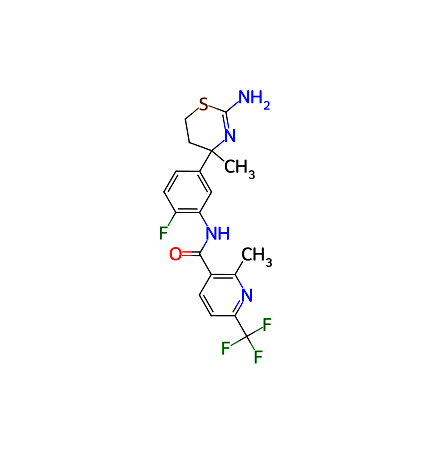 Cc1nc(C(F)(F)F)ccc1C(=O)Nc1cc(C2(C)CCSC(N)=N2)ccc1F